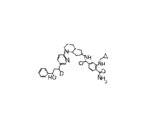 NC(=O)c1ccc(C(=O)NC2CC3CCCN(c4ccc(C(=O)CC(O)c5ccccc5)cn4)C3C2)cc1NCC1CC1